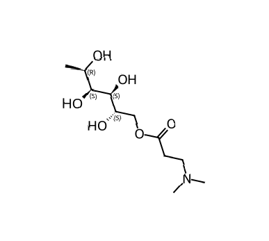 C[C@@H](O)[C@H](O)[C@@H](O)[C@@H](O)COC(=O)CCN(C)C